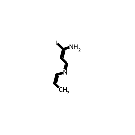 C\C=C/N=C\C=C(/N)I